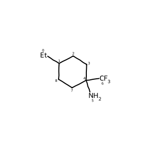 CCC1CCC(N)(C(F)(F)F)CC1